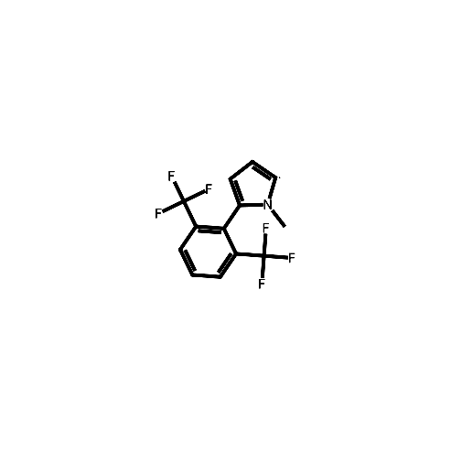 Cn1[c]ccc1-c1c(C(F)(F)F)cccc1C(F)(F)F